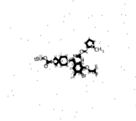 CN1CCC[C@H]1COc1nc(N2CCC3(CC2)CN(C(=O)OC(C)(C)C)C3)c2cc(I)c(Br)c(OCC(F)F)c2n1